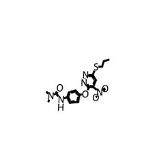 CCCSc1cc([N+](=O)[O-])c(Oc2ccc(NC(=O)N(C)C)cc2)nn1